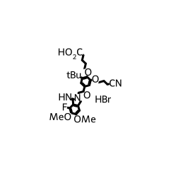 Br.COc1cc2c(c(F)c1OC)C(=N)N(CC(=O)c1cc(OCCCC#N)c(OCCCCC(=O)O)c(C(C)(C)C)c1)C2